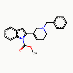 CC(C)(C)OC(=O)n1c(C2=CCCN(Cc3ccccc3)C2)cc2ccccc21